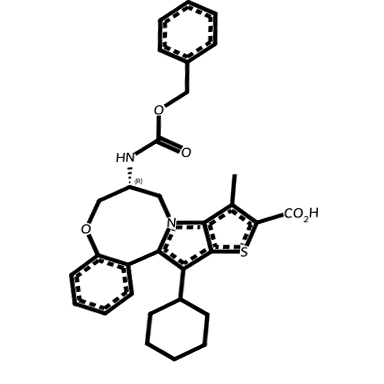 Cc1c(C(=O)O)sc2c(C3CCCCC3)c3n(c12)C[C@@H](NC(=O)OCc1ccccc1)COc1ccccc1-3